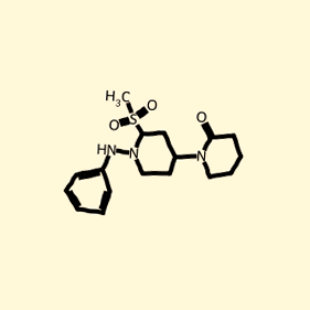 CS(=O)(=O)C1CC(N2CCCCC2=O)CCN1Nc1ccccc1